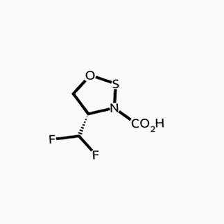 O=C(O)N1SOC[C@H]1C(F)F